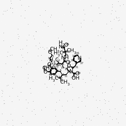 COCCCOc1cc(C[C@@H](C[C@H]2[C@H](C[C@H](C(=O)NCC(C)(C)C(N)=O)C(C)C)OC(Cc3cccnc3)N2C(=O)O)C(C)C)ccc1OC